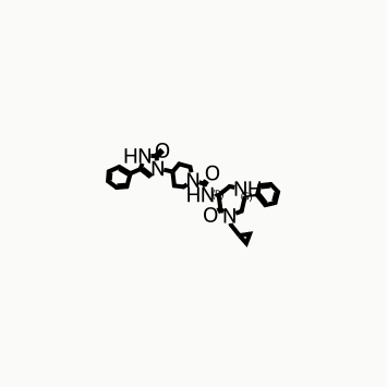 O=C(N[C@@H]1CN[C@@H](c2ccccc2)CN(CC2CC2)C1=O)N1CCC(n2cc(-c3ccccc3)[nH]c2=O)CC1